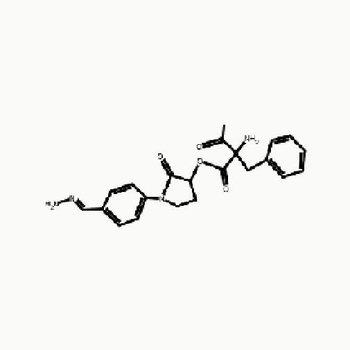 CC(=O)C(N)(Cc1ccccc1)C(=O)OC1CCN(c2ccc(C=NN)cc2)C1=O